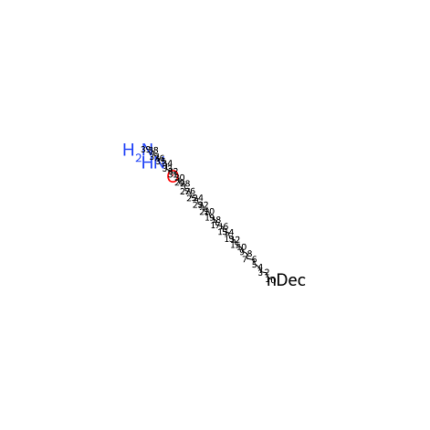 CCCCCCCCCCCCCCCCCCCCCCCCCCCCCCCCCCCCCCCCOCCCNCCCN